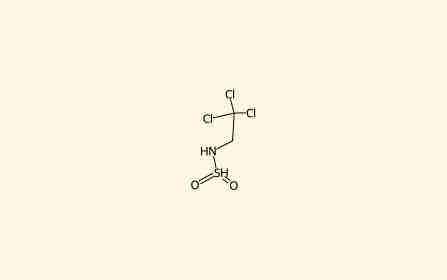 O=[SH](=O)NCC(Cl)(Cl)Cl